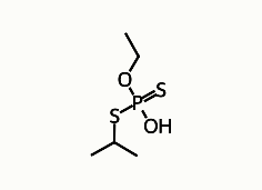 CCOP(O)(=S)SC(C)C